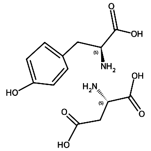 N[C@@H](CC(=O)O)C(=O)O.N[C@@H](Cc1ccc(O)cc1)C(=O)O